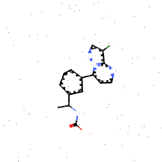 CC(NC(=O)O)c1cccc(-c2ccnc3c(Cl)cnn23)c1